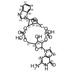 Nc1nc2c(ncn2C2OC3COP(=O)(O)OC4C(O)C(COP(=O)(O)OC2C3O)OC4n2cnc3ccccc32)c(=O)[nH]1